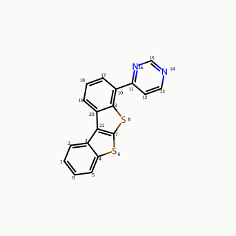 c1ccc2c(c1)sc1sc3c(-c4ccncn4)cccc3c12